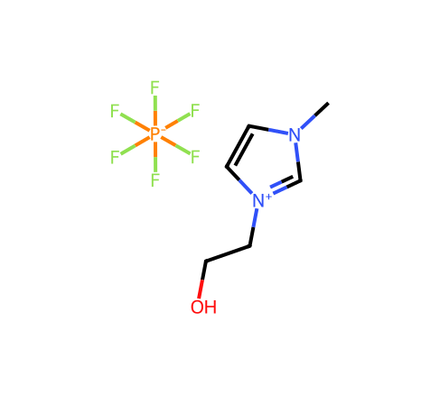 Cn1cc[n+](CCO)c1.F[P-](F)(F)(F)(F)F